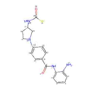 Nc1ccccc1NC(=O)c1ccc(N2CCC(NC(=O)S)C2)cc1